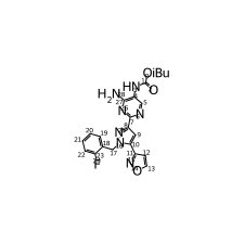 CC(C)COC(=O)Nc1cnc(-c2cc(-c3ccon3)n(Cc3ccccc3F)n2)nc1N